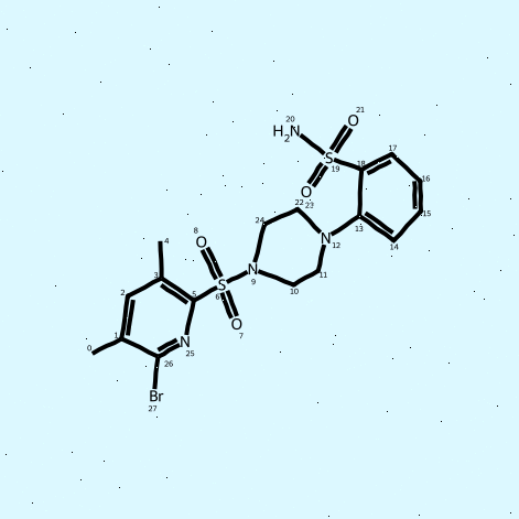 Cc1cc(C)c(S(=O)(=O)N2CCN(c3ccccc3S(N)(=O)=O)CC2)nc1Br